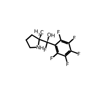 C[C@]1([C@@](O)(F)c2c(F)c(F)c(F)c(F)c2F)CCCN1